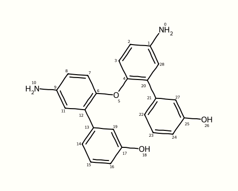 Nc1ccc(Oc2ccc(N)cc2-c2cccc(O)c2)c(-c2cccc(O)c2)c1